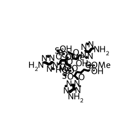 COC1C(CCP(=O)(O)OC)OC(n2cnc3c(N)ncnc32)C1OP(O)(=S)OCC1OC(n2cnc3c(N)ncnc32)C(OP(O)(=S)OCC2OC(n3cnc4c(N)ncnc43)C(O)C2O)C1OC